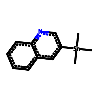 [CH3][Sn]([CH3])([CH3])[c]1cnc2ccccc2c1